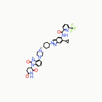 Cn1c(=O)n(C2CCC(=O)NC2=O)c2cccc(N3CCN(C[C@H]4CC[C@H](n5cc6cc(NC(=O)c7cccc(C(F)(F)F)n7)c(C7CC7)cc6n5)CC4)CC3)c21